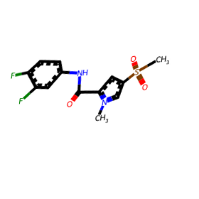 Cn1cc(S(C)(=O)=O)cc1C(=O)Nc1ccc(F)c(F)c1